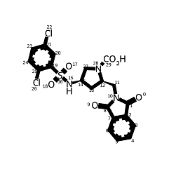 O=C1c2ccccc2C(=O)N1C[C@H]1C[C@@H](NS(=O)(=O)c2cc(Cl)ccc2Cl)CN1C(=O)O